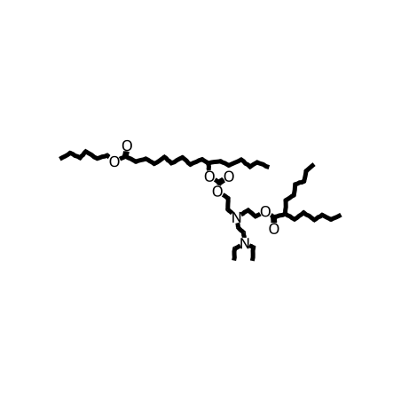 CCCCCCOC(=O)CCCCCCCCC(CCCCCC)OC(=O)OCCN(CCOC(=O)C(CCCCCC)CCCCCC)CCN(CC)CC